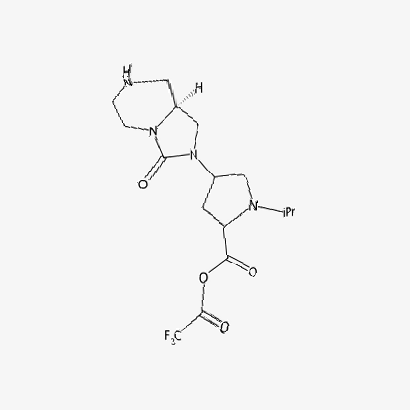 CC(C)N1CC(N2C[C@@H]3CNCCN3C2=O)CC1C(=O)OC(=O)C(F)(F)F